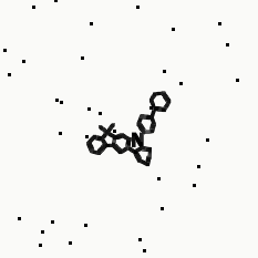 CC1(C)c2ccccc2-c2cc3c4ccccc4n(-c4ccc(C5=CC=CCC5)cc4)c3cc21